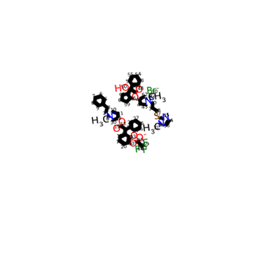 C[N+]1(CCc2ccccc2)CCC(OC(=O)C2c3ccccc3Oc3ccccc32)C1.Cn1ccnc1SCCC[N+]1(C)CCC(OC(=O)C(O)(c2ccccc2)C2CCCC2)C1.O=C([O-])C(F)(F)F.[Br-]